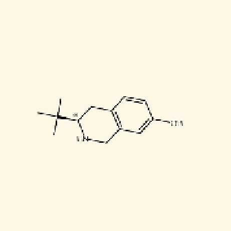 CC(C)(C)[C@H]1Cc2ccc(O)cc2CN1